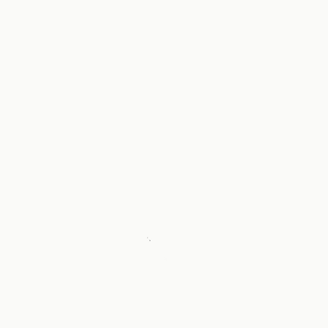 CCCNC(C)c1cccc(OCC2CCCCC2)c1